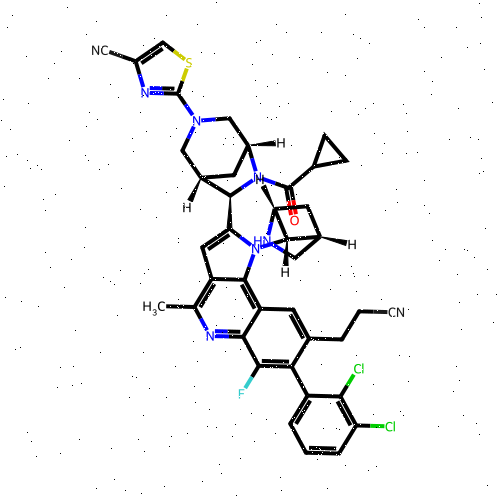 Cc1nc2c(F)c(-c3cccc(Cl)c3Cl)c(CCC#N)cc2c2c1cc([C@H]1[C@H]3C[C@H](CN(c4nc(C#N)cs4)C3)N1C(=O)C1CC1)n2[C@H]1[C@H]2CN[C@@H]1C2